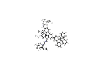 C=C/C(=C\C=C\C1c2cc(-c3ccc(C(C)(c4ccccc4)c4ccccc4-c4ccccc4)cc3)cc3c4ccc(/C=C\CC(C)C)c(C)c4n(c23)C1C=C(C)C)C(C)C